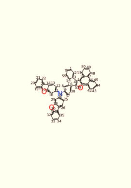 c1ccc(-c2c(-c3ccc(N(c4ccc5c(c4)oc4ccccc45)c4ccc5c(c4)oc4ccccc45)cc3)oc3c4ccccc4c4ccccc4c23)cc1